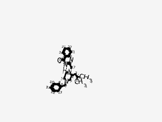 CC(C)CC1CN(Cc2ccccc2)CCN1Cc1nc2ccccc2c(=O)[nH]1